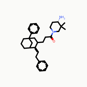 CC1(C)CN(C(=O)CCC2CC3(c4ccccc4)CCCC(C3)/C2=C\Cc2ccccc2)CC[C@@H]1N